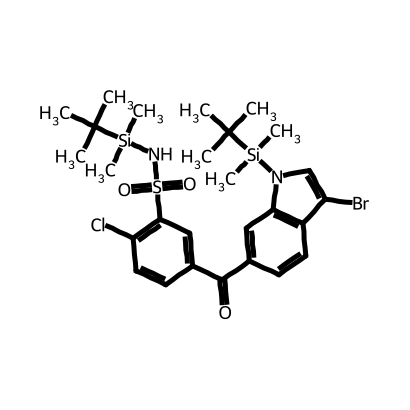 CC(C)(C)[Si](C)(C)NS(=O)(=O)c1cc(C(=O)c2ccc3c(Br)cn([Si](C)(C)C(C)(C)C)c3c2)ccc1Cl